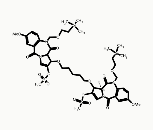 COc1ccc2c(c1)C(=O)N1C=C(OS(=O)(=O)C(F)(F)F)C(OCCCCCOC3C(OS(=O)(=O)C(F)(F)F)=CN4C(=O)c5cc(OC)ccc5N(COCC[Si](C)(C)C)C(=O)[C@H]34)C1C(=O)N2COCC[Si](C)(C)C